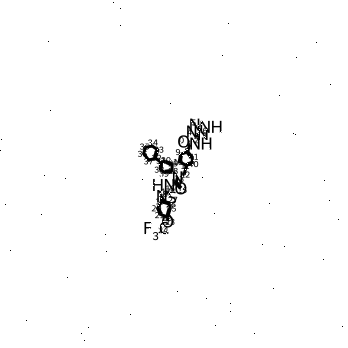 O=C(Nc1nn[nH]n1)c1ccc(CN(C(=O)Nc2nc3ccc(OC(F)(F)F)cc3s2)c2ccc(C3=CCCCC3)cc2)cc1